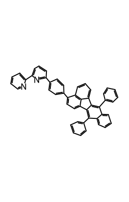 c1ccc(-c2c3c(c(-c4ccccc4)c4ccccc24)-c2ccc(-c4ccc(-c5cccc(-c6ccccn6)n5)cc4)c4cccc-3c24)cc1